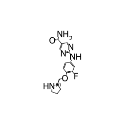 NC(=O)c1cnc(Nc2ccc(OC[C@H]3CCCN3)c(F)c2)nc1